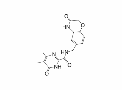 Cc1nc(C(=O)NCc2ccc3c(c2)NC(=O)CO3)[nH]c(=O)c1C